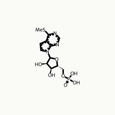 CSc1ncnc2c1ccn2C1O[C@H](COP(=O)(O)O)[C@@H](O)[C@H]1O